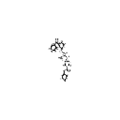 O=C(Cc1cccnc1)N1CCN(CC(O)COc2cccc3[nH]c4ccccc4c23)CC1